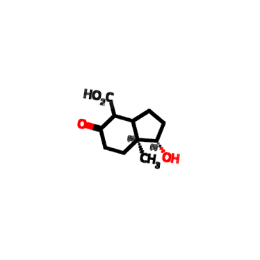 C[C@]12CCC(=O)C(C(=O)O)C1CC[C@@H]2O